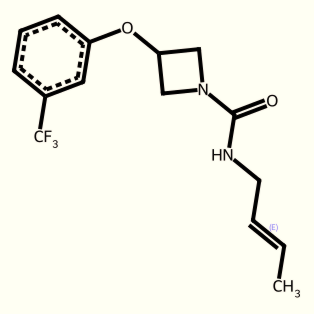 C/C=C/CNC(=O)N1CC(Oc2cccc(C(F)(F)F)c2)C1